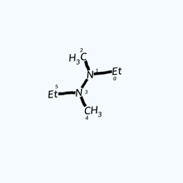 CCN(C)N(C)CC